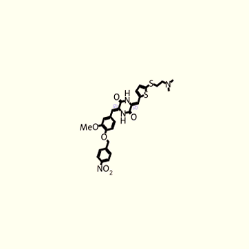 COc1cc(/C=c2\[nH]c(=O)/c(=C/c3ccc(SCCN(C)C)s3)[nH]c2=O)ccc1OCc1ccc([N+](=O)[O-])cc1